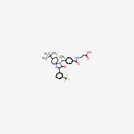 C[C@H](c1ccc(C(=O)NCCC(=O)O)cc1)N1C(=O)C(c2cccc(C(F)(F)F)c2)=NC12CCC(C(C)(C)C)CC2